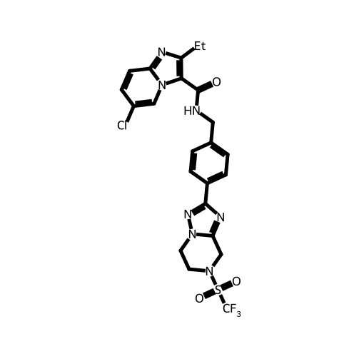 CCc1nc2ccc(Cl)cn2c1C(=O)NCc1ccc(-c2nc3n(n2)CCN(S(=O)(=O)C(F)(F)F)C3)cc1